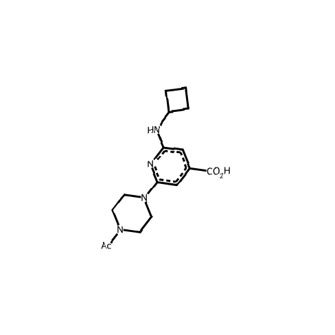 CC(=O)N1CCN(c2cc(C(=O)O)cc(NC3CCC3)n2)CC1